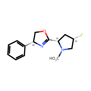 O=C(O)N1C[C@@H](F)C[C@H]1C1=N[C@H](c2ccccc2)CO1